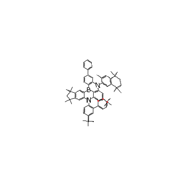 Cc1cc2c(cc1N1c3cc(-c4ccccc4)ccc3B3c4cc5c(cc4N(c4ccc(C(C)(C)C)cc4-c4ccccc4)c4cc(C(C)(C)C)cc1c43)C(C)(C)CC5(C)C)C(C)(C)CCC2(C)C